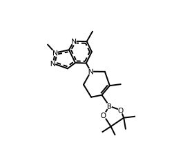 CC1=C(B2OC(C)(C)C(C)(C)O2)CCN(c2cc(C)nc3c2cnn3C)C1